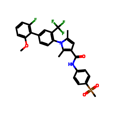 COc1cccc(F)c1-c1ccc(-n2c(C)cc(C(=O)Nc3ccc(S(C)(=O)=O)cc3)c2C)c(C(F)(F)F)c1